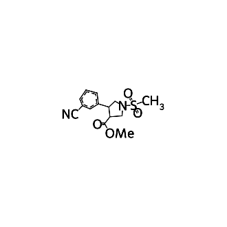 COC(=O)C1CN(S(C)(=O)=O)CC1c1cccc(C#N)c1